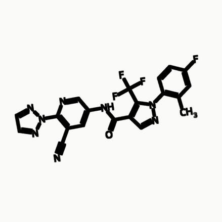 Cc1cc(F)ccc1-n1ncc(C(=O)Nc2cnc(-n3nccn3)c(C#N)c2)c1C(F)(F)F